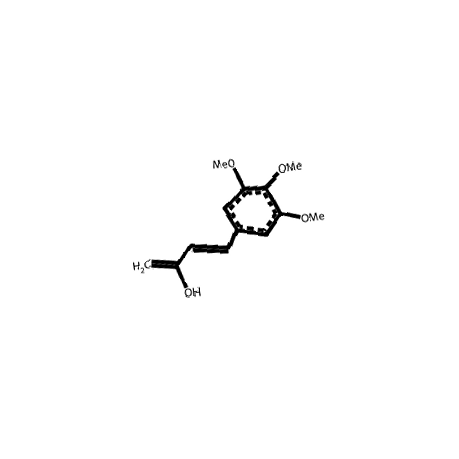 C=C(O)/C=C/c1cc(OC)c(OC)c(OC)c1